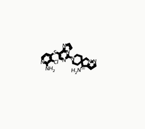 Nc1nccc(Sc2cnc(N3CCC4(CC3)Cn3nccc3[C@H]4N)n3ccnc23)c1Cl